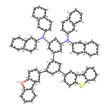 c1ccc2cc(N(c3cc(-c4cc(-c5ccc6oc7ccccc7c6c5)cc(-c5ccc6sc7ccccc7c6c5)c4)cc(N(c4ccc5ccccc5c4)c4ccc5ccccc5c4)c3)c3ccc4ccccc4c3)ccc2c1